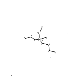 CCCC[N+](C)(CCC)OC